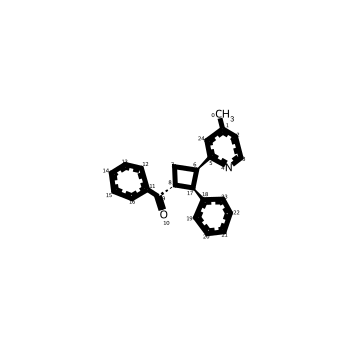 Cc1ccnc([C@@H]2C[C@@H](C(=O)c3ccccc3)[C@@H]2c2ccccc2)c1